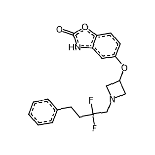 O=c1[nH]c2cc(OC3CN(CC(F)(F)CCc4ccccc4)C3)ccc2o1